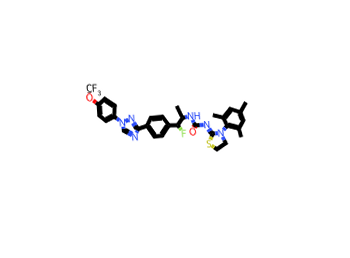 Cc1cc(C)c(N2CCS/C2=N\C(=O)NC(C)C(F)c2ccc(-c3ncn(-c4ccc(OC(F)(F)F)cc4)n3)cc2)c(C)c1